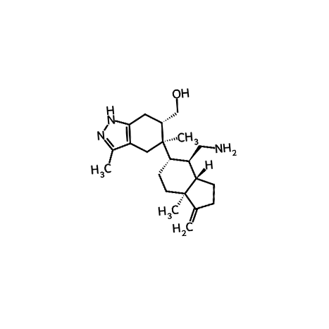 C=C1CC[C@H]2[C@H](CN)[C@@H]([C@@]3(C)Cc4c(C)n[nH]c4C[C@@H]3CO)CC[C@]12C